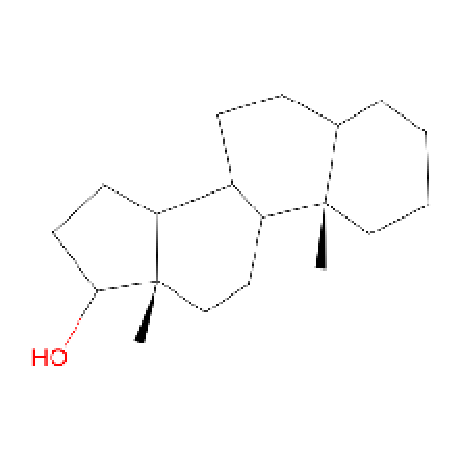 C[C@]12CCCCC1CCC1C2CC[C@]2(C)C(O)CCC12